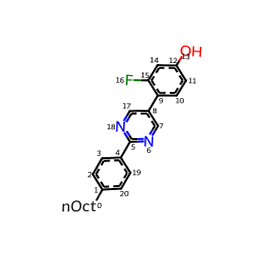 CCCCCCCCc1ccc(-c2ncc(-c3ccc(O)cc3F)cn2)cc1